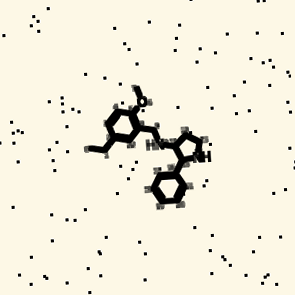 CCc1ccc(OC)c(CNC2CCNC2c2ccccc2)c1